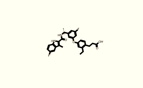 CCc1cc(Oc2cc(F)cc([C@@H](C)NC(=O)c3[nH]c4ccc(F)cc4c3C)c2)ccc1CCC(=O)O